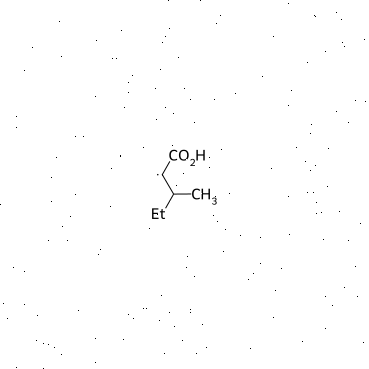 CCC(C)[CH]C(=O)O